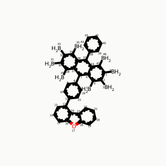 Bc1c(B)c(B)c2c(-c3ccc(-c4cccc5oc6ccccc6c45)cc3)c3c(B)c(B)c(B)c(B)c3c(-c3ccccc3)c2c1B